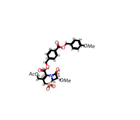 COc1ccc(COC(=O)c2ccc(COC(=O)C3=C(COC(C)=O)CS(=O)(=O)C4[C@@H](OC)C(=O)N34)cc2)cc1